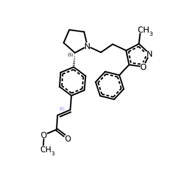 COC(=O)/C=C/c1ccc([C@@H]2CCCN2CCc2c(C)noc2-c2ccccc2)cc1